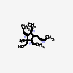 C/C=C\C=C1C(=C/C)/C(=C\C)C(S)(CO)/C1=C/C